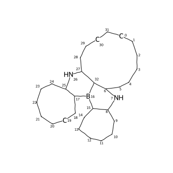 C1CCCCCC2NC3CCCCCCC3B3C4CCCCCCCC4NC(CCCC1)C32